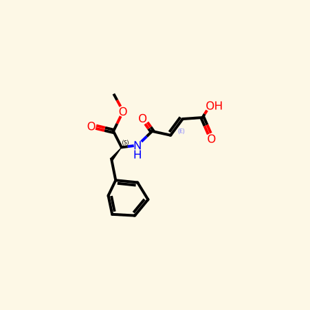 COC(=O)[C@H](Cc1ccccc1)NC(=O)/C=C/C(=O)O